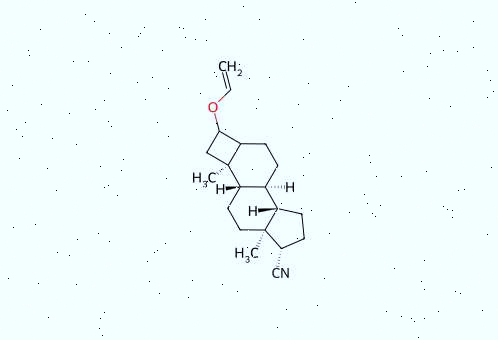 C=COC1C[C@@]2(C)C1CC[C@H]1[C@@H]3CC[C@H](C#N)[C@@]3(C)CC[C@@H]12